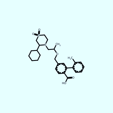 Cc1ccccc1-c1cc(COC(C)CN2CCS(=O)(=O)CC2C2CCCCC2)ccc1C(=O)O